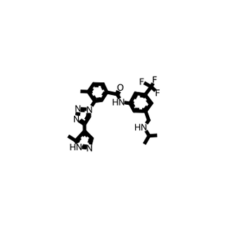 Cc1ccc(C(=O)Nc2cc(CNC(C)C)cc(C(F)(F)F)c2)cc1-n1cc(-c2cn[nH]c2C)nn1